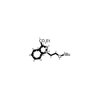 CCCCOCCn1nc(C(=O)OCC)c2ccccc21